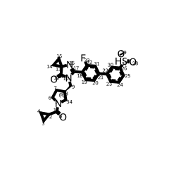 O=C(C1CC1)N1CC[C@@H](CN2C(=O)C3(CC3)N=C2c2ccc(-c3cccc([SH](=O)=O)c3)cc2F)C1